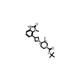 Cn1c(=O)[nH]c2cccc(C3CN([C@@H]4CCN(C(=O)OC(C)(C)C)C[C@@H]4F)C3)c21